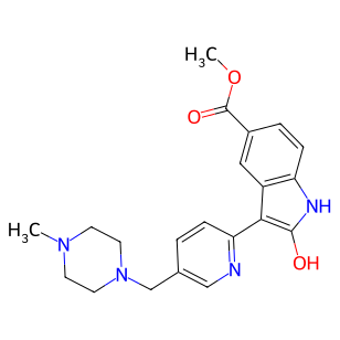 COC(=O)c1ccc2[nH]c(O)c(-c3ccc(CN4CCN(C)CC4)cn3)c2c1